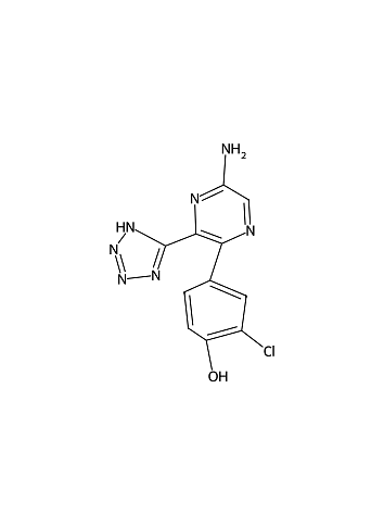 Nc1cnc(-c2ccc(O)c(Cl)c2)c(-c2nnn[nH]2)n1